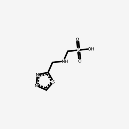 O=S(=O)(O)CNCc1nn[c]s1